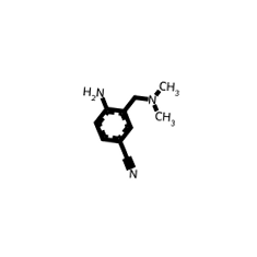 CN(C)Cc1cc(C#N)ccc1N